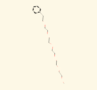 COCCOCCOCCOCCOCCOCCc1ccccc1